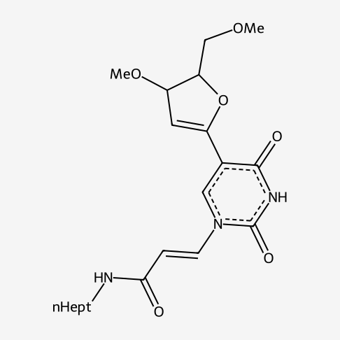 CCCCCCCNC(=O)/C=C/n1cc(C2=CC(OC)C(COC)O2)c(=O)[nH]c1=O